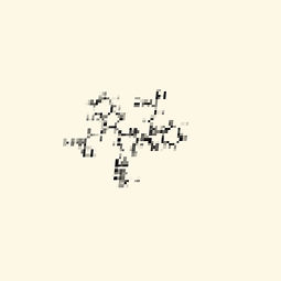 CCN(CC)CCn1c(-c2cccc(-c3nc4ccccc4n3CCN(CC)CC)n2)nc2ccccc21.[Cl-].[Cl-].[Cl-].[Fe+3]